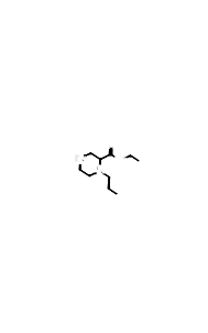 CCCN1CCNCC1C(=O)OCC